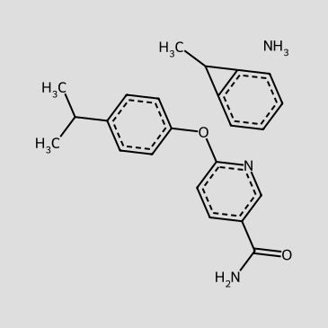 CC(C)c1ccc(Oc2ccc(C(N)=O)cn2)cc1.CC1c2ccccc21.N